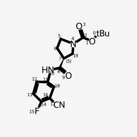 CC(C)(C)OC(=O)N1CC[C@H](C(=O)Nc2ccc(F)c(C#N)c2)C1